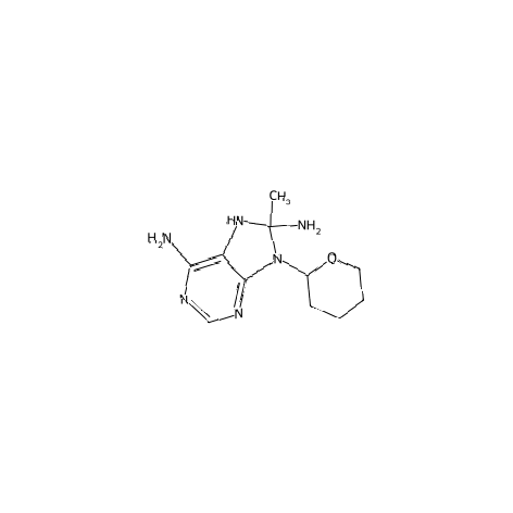 CC1(N)Nc2c(N)ncnc2N1C1CCCCO1